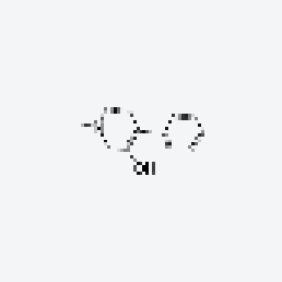 CN1C=CC(c2ccccc2)=C(O)C1